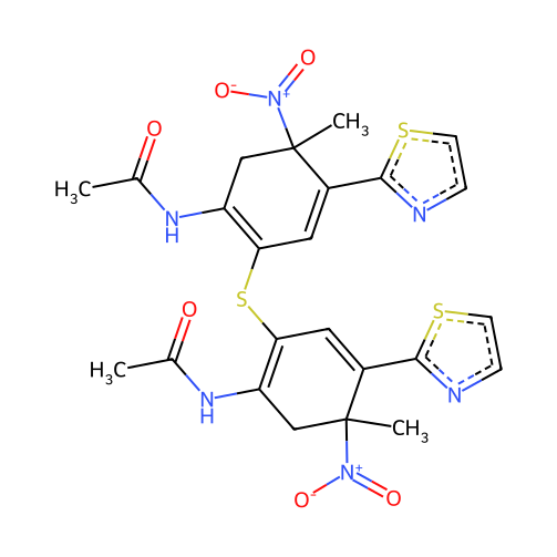 CC(=O)NC1=C(SC2=C(NC(C)=O)CC(C)([N+](=O)[O-])C(c3nccs3)=C2)C=C(c2nccs2)C(C)([N+](=O)[O-])C1